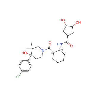 CC1(C)CN(C(=O)[C@H]2CCCC[C@H]2NC(=O)C2CC(O)C(O)C2)CCC1(O)c1ccc(Cl)cc1